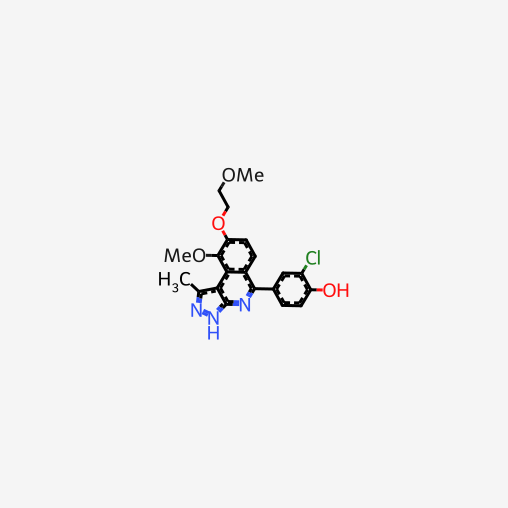 COCCOc1ccc2c(-c3ccc(O)c(Cl)c3)nc3[nH]nc(C)c3c2c1OC